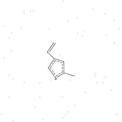 C=Cc1csc(C)c1